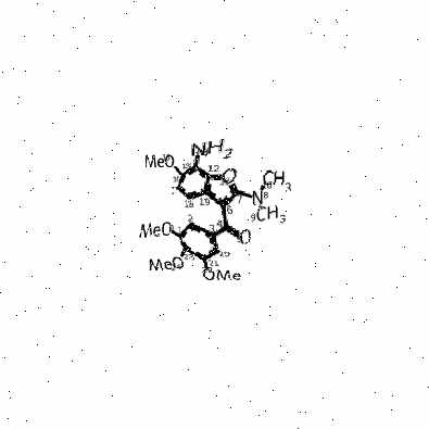 COc1cc(C(=O)c2c(N(C)C)oc3c(N)c(OC)ccc23)cc(OC)c1OC